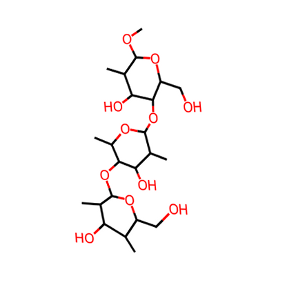 COC1OC(CO)C(OC2OC(C)C(OC3OC(CO)C(C)C(O)C3C)C(O)C2C)C(O)C1C